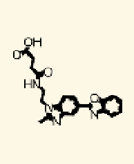 Cc1nc2cc(-c3nc4ccccc4o3)ccc2n1CCNC(=O)CCC(=O)O